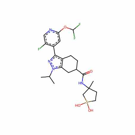 CC(C)n1nc(-c2cc(OC(F)F)ncc2F)c2c1CC(C(=O)NC1(C)CCS(O)(O)C1)CC2